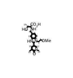 COCCN1c2ccc(CN[C@H](C(=O)O)[C@@H](C)O)cc2NC1c1cc(C)c(=O)n(C)c1